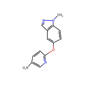 Cn1ncc2cc(Oc3ccc([N+](=O)[O-])cn3)ccc21